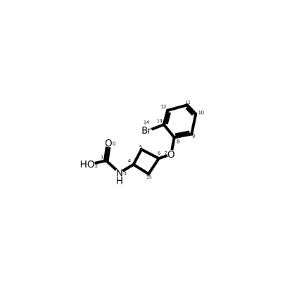 O=C(O)NC1CC(Oc2ccccc2Br)C1